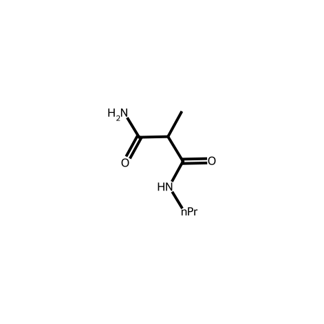 CCCNC(=O)C(C)C(N)=O